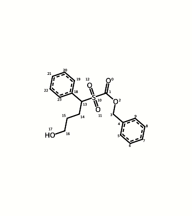 O=C(OCc1ccccc1)S(=O)(=O)C(CCCO)c1ccccc1